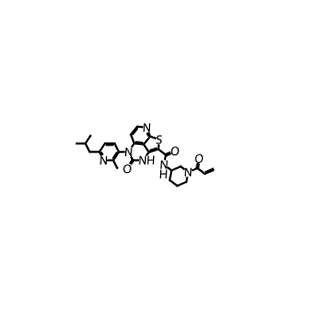 C=CC(=O)N1CCCC(NC(=O)c2sc3nccc4c3c2NC(=O)N4c2ccc(CC(C)C)nc2C)C1